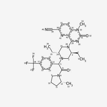 CC[C@H]1CN(C(C(=O)N2CCC[C@H]2C)c2ccc(C(F)(F)F)cc2)[C@H](CC)CN1c1nc(=O)n(C)c2ccc(C#N)nc12